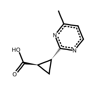 Cc1ccnc([C@@H]2C[C@H]2C(=O)O)n1